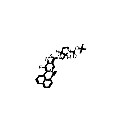 C#Cc1cccc2cccc(-c3ncc4c(N5C[C@@H]6[C@H]5CCN6C(=O)OC(C)(C)C)snc4c3F)c12